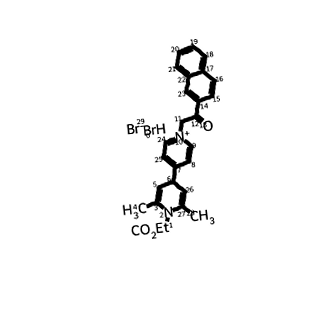 Br.CCOC(=O)N1C(C)=CC(c2cc[n+](CC(=O)c3ccc4ccccc4c3)cc2)C=C1C.[Br-]